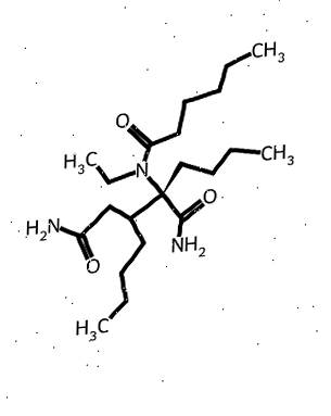 CCCCCC(=O)N(CC)[C@](CCCC)(C(N)=O)C(CCCC)CC(N)=O